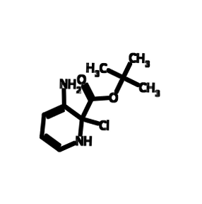 CC(C)(C)OC(=O)C1(Cl)NC=CC=C1N